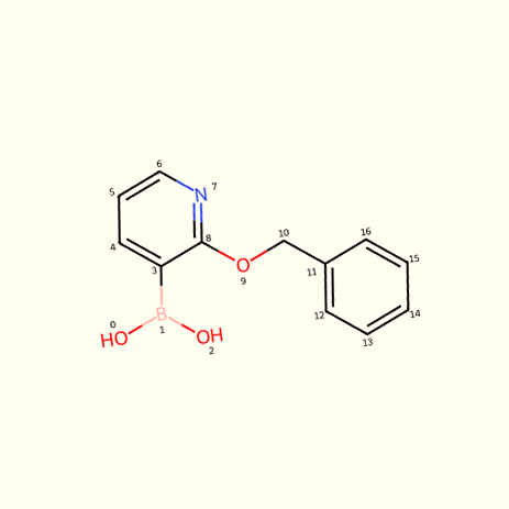 OB(O)c1cccnc1OCc1ccccc1